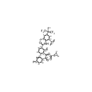 O=C(Nc1c(I)cc(C(F)(C(F)(F)F)C(F)(F)F)cc1C(F)F)c1cccc(N(OC(=O)C2CC2)C(=O)c2ccc(F)nc2)c1F